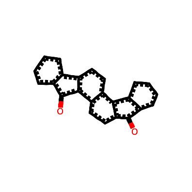 O=c1c2ccccc2c2c1ccc1c2ccc2c3ccccc3c(=O)c21